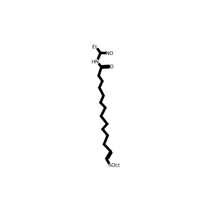 CCCCCCCCC=CCCCCCCCCCCCC(=O)NC(CC)N=O